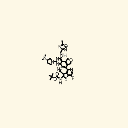 Cc1nc(CNc2nc(N3CC[C@H](N(C)C)C3)nc3c(F)c(-c4ncc(F)c5sc(NC(=O)OC(C)(C)C)c(C#N)c45)c4c(c23)COC4)no1